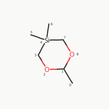 CC1OC[Si](C)(C)CO1